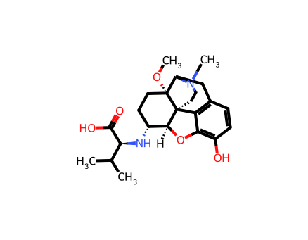 CO[C@@]12CC[C@@H](N[C@H](C(=O)O)C(C)C)[C@@H]3Oc4c(O)ccc5c4[C@@]31CCN(C)C2C5